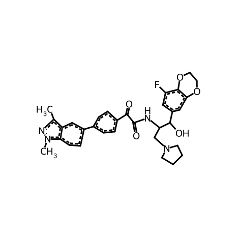 Cc1nn(C)c2ccc(-c3ccc(C(=O)C(=O)NC(CN4CCCC4)C(O)c4cc(F)c5c(c4)OCCO5)cc3)cc12